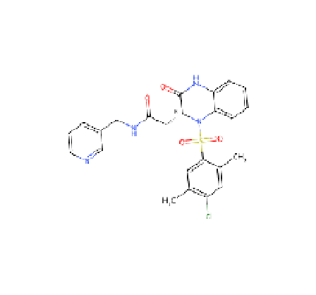 Cc1cc(S(=O)(=O)N2c3ccccc3NC(=O)[C@H]2CC(=O)NCc2cccnc2)c(C)cc1Cl